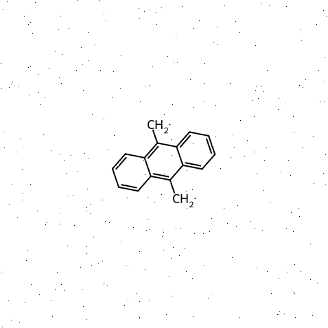 [CH2]c1c2ccccc2c([CH2])c2ccccc12